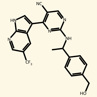 CC(Nc1ncc(C#N)c(-c2c[nH]c3ncc(C(F)(F)F)cc23)n1)c1ccc(CO)cc1